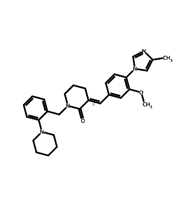 COc1cc(/C=C2\CCCN(Cc3ccccc3N3CCCCC3)C2=O)ccc1-n1cnc(C)c1